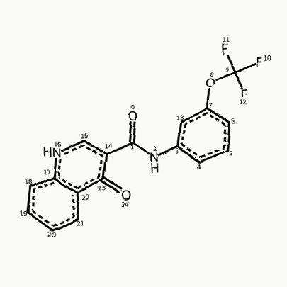 O=C(Nc1cccc(OC(F)(F)F)c1)c1c[nH]c2ccccc2c1=O